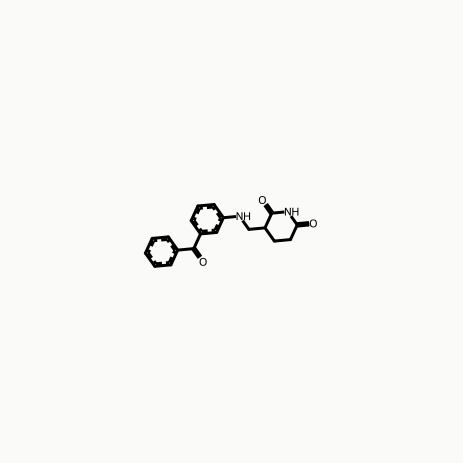 O=C1CCC(CNc2cccc(C(=O)c3ccccc3)c2)C(=O)N1